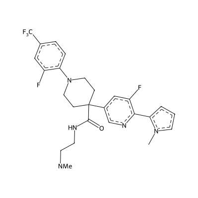 CNCCNC(=O)C1(c2cnc(-c3cccn3C)c(F)c2)CCN(c2ccc(C(F)(F)F)cc2F)CC1